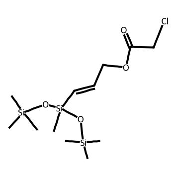 C[Si](C)(C)O[Si](C)(C=CCOC(=O)CCl)O[Si](C)(C)C